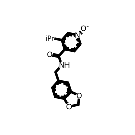 CC(C)c1c[n+]([O-])ccc1C(=O)NCc1ccc2c(c1)OCO2